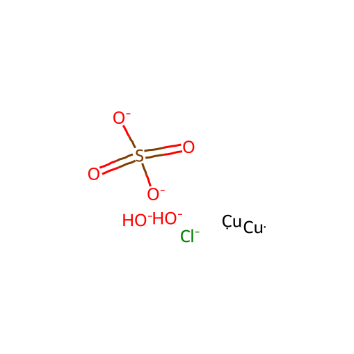 O=S(=O)([O-])[O-].[Cl-].[Cu].[Cu].[OH-].[OH-]